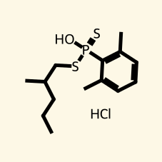 CCCC(C)CSP(O)(=S)c1c(C)cccc1C.Cl